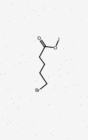 O=C(CCCCBr)OI